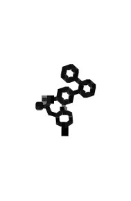 O=C1CC2CNCCN2c2cc(-c3ccccc3-c3ccccc3)ccc2N1